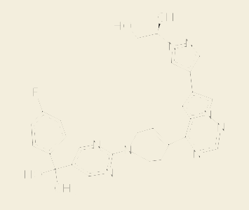 C[C@H](CO)n1cc(-c2cc3c(C4=CCN(c5ncc(C(C)(O)c6ccc(F)cc6)cn5)CC4)ncnn3c2)cn1